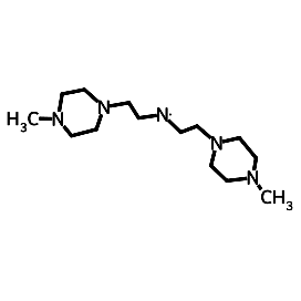 CN1CCN(CC[N]CCN2CCN(C)CC2)CC1